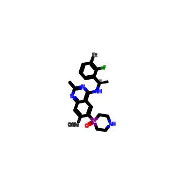 CCc1cccc([C@@H](C)Nc2nc(C)nc3cc(OC)c(P4(=O)CCNCC4)cc23)c1F